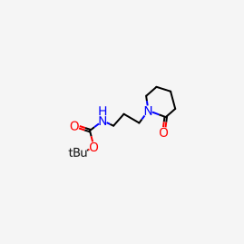 CC(C)(C)OC(=O)NCCCN1CCCCC1=O